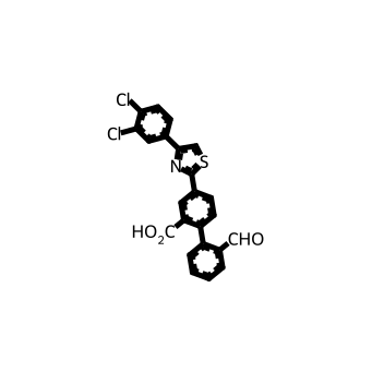 O=Cc1ccccc1-c1ccc(-c2nc(-c3ccc(Cl)c(Cl)c3)cs2)cc1C(=O)O